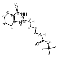 CC(C)(C)OC(=O)NCCCNc1nc2c(c(=O)[nH]1)CCCC2